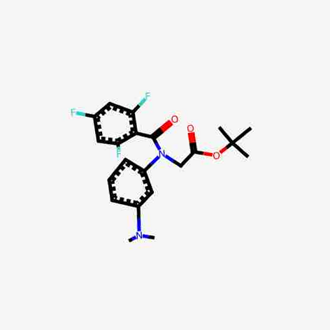 CN(C)c1cccc(N(CC(=O)OC(C)(C)C)C(=O)c2c(F)cc(F)cc2F)c1